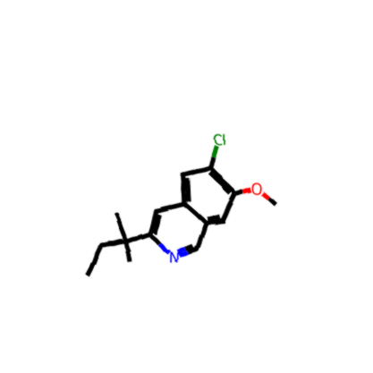 CCC(C)(C)c1cc2cc(Cl)c(OC)cc2cn1